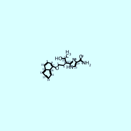 C[C@H](O)[C@H](CCOc1cccc2ccccc12)c1nc(C(N)=O)c[nH]1